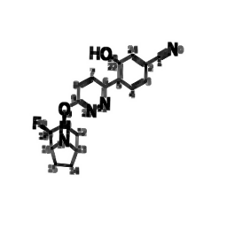 N#Cc1ccc(-c2ccc(O[C@H]3CC4CCC(N4)[C@H]3F)nn2)c(O)c1